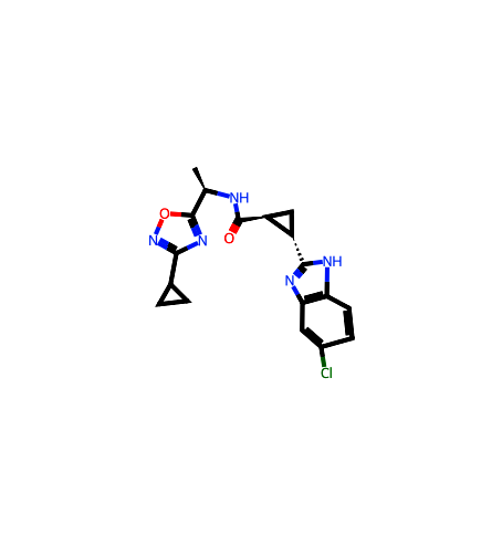 C[C@@H](NC(=O)[C@H]1C[C@@H]1c1nc2cc(Cl)ccc2[nH]1)c1nc(C2CC2)no1